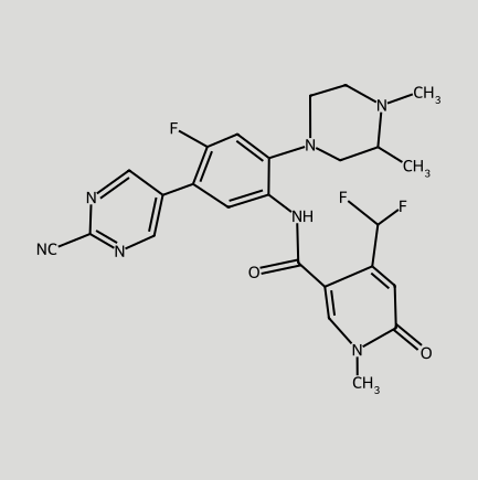 CC1CN(c2cc(F)c(-c3cnc(C#N)nc3)cc2NC(=O)c2cn(C)c(=O)cc2C(F)F)CCN1C